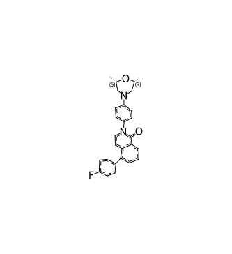 C[C@@H]1CN(c2ccc(-n3ccc4c(-c5ccc(F)cc5)cccc4c3=O)cc2)C[C@H](C)O1